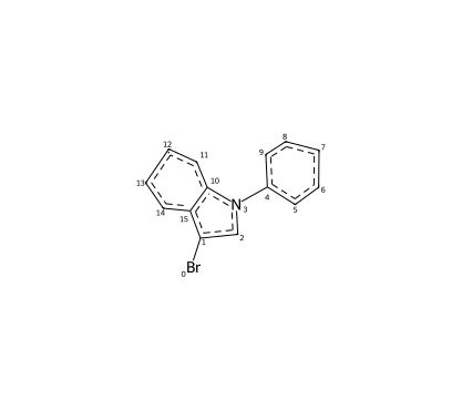 Brc1cn(-c2ccccc2)c2c[c]ccc12